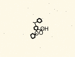 CC(c1ccccc1)c1ccc(Oc2ccccc2)c(C(=O)O)c1